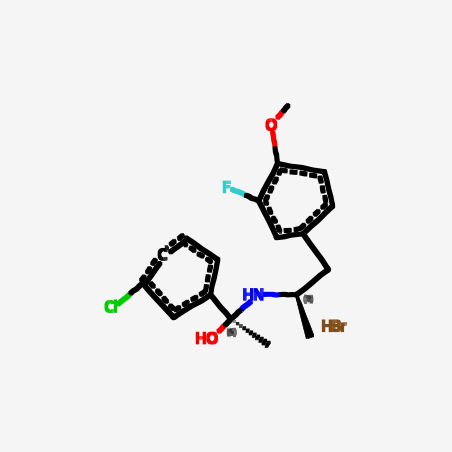 Br.COc1ccc(C[C@@H](C)N[C@@](C)(O)c2cccc(Cl)c2)cc1F